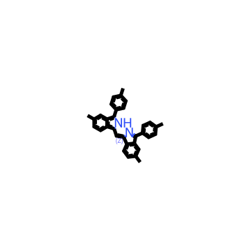 Cc1ccc(C2=N/C(=C\c3[nH]c(-c4ccc(C)cc4)c4cc(C)ccc34)c3ccc(C)cc32)cc1